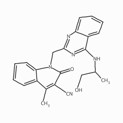 Cc1c(C#N)c(=O)n(Cc2nc(NC(C)CO)c3ccccc3n2)c2ccccc12